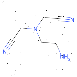 N#CCN(CC#N)CCN